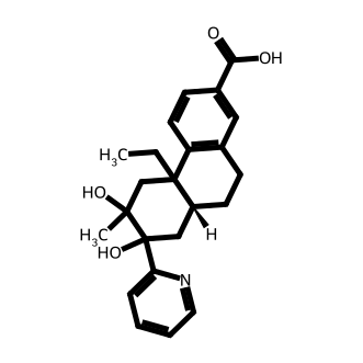 CCC12CC(C)(O)C(O)(c3ccccn3)C[C@H]1CCc1cc(C(=O)O)ccc12